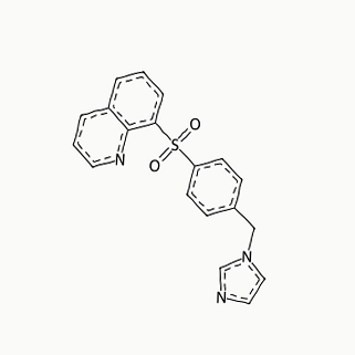 O=S(=O)(c1ccc(Cn2ccnc2)cc1)c1cccc2cccnc12